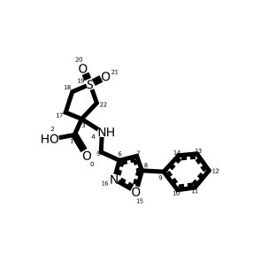 O=C(O)C1(NCc2cc(-c3ccccc3)on2)CCS(=O)(=O)C1